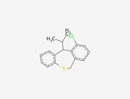 CC(C)C1c2ccccc2SCc2cccc(Cl)c21